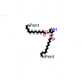 CCCCC/C=C\C/C=C\CCCCCCCC(=O)OC[C@H]1CNC[C@@H]1COC(=O)CCCCCCC/C=C\C/C=C\CCCCC